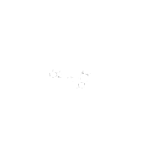 Cc1ccc(O)cc1C12CCN(C(=O)Cc3cc4ccccc4[nH]3)CCC1(O)C(C)N(CC1CC1)CC2